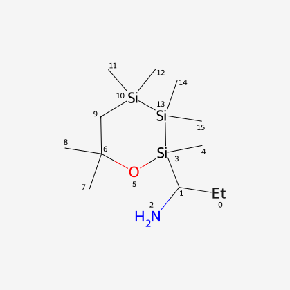 CCC(N)[Si]1(C)OC(C)(C)C[Si](C)(C)[Si]1(C)C